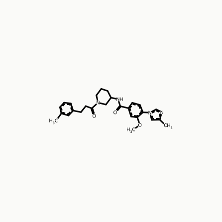 COc1cc(C(=O)NC2CCCN(C(=O)CCc3cccc(C)c3)C2)ccc1-n1cnc(C)c1